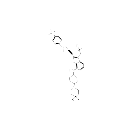 CP(C)(=O)c1ccc(NCC#Cc2sc3c(NC4CCC(N5CCC6(CC5)COC6)CC4)cccc3c2CC(F)(F)F)cc1